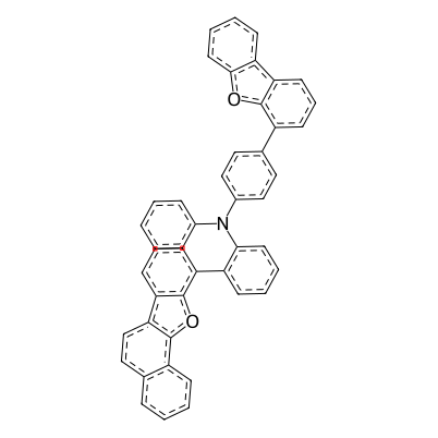 c1ccc(N(c2ccc(-c3cccc4c3oc3ccccc34)cc2)c2ccccc2-c2cccc3c2oc2c4ccccc4ccc32)cc1